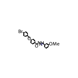 COc1cccc(/C=N/NC(=O)c2ccc(OCc3ccc(Br)cc3)cc2)c1